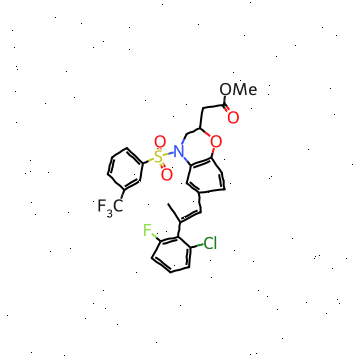 COC(=O)CC1CN(S(=O)(=O)c2cccc(C(F)(F)F)c2)c2cc(C=C(C)c3c(F)cccc3Cl)ccc2O1